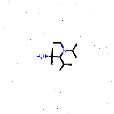 CCN(C(C)C)C(C(C)C)C(C)(C)N